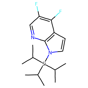 CC(C)[Si](C(C)C)(C(C)C)n1ccc2c(F)c(F)cnc21